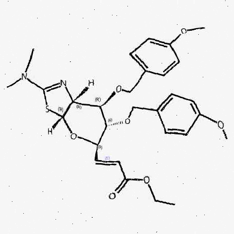 CCOC(=O)/C=C/[C@H]1O[C@@H]2SC(N(C)C)=N[C@@H]2[C@@H](OCc2ccc(OC)cc2)[C@@H]1OCc1ccc(OC)cc1